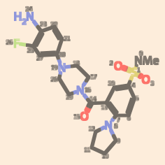 CNS(=O)(=O)c1ccc(N2CCCC2)c(C(=O)N2CCN(c3ccc(N)c(F)c3)CC2)c1